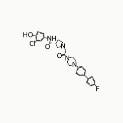 O=C(Nc1ccc(O)c(Cl)c1)[C@@H]1CCN(CC(=O)N2CCN(c3ccc(-c4ccc(F)cc4)cc3)CC2)C1